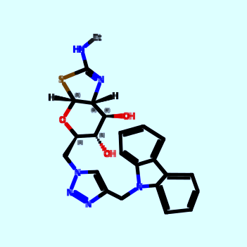 CCNC1=N[C@@H]2[C@@H](O)[C@H](O)[C@@H](Cn3cc(Cn4c5ccccc5c5ccccc54)nn3)O[C@@H]2S1